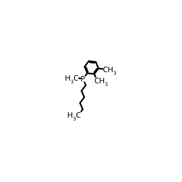 CCCCCCP(C)c1cccc(C)c1C